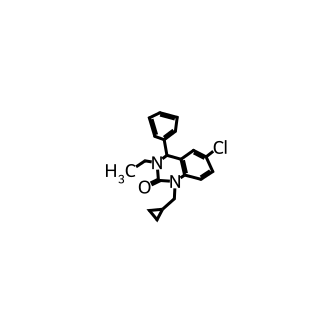 CCN1C(=O)N(CC2CC2)c2ccc(Cl)cc2C1c1ccccc1